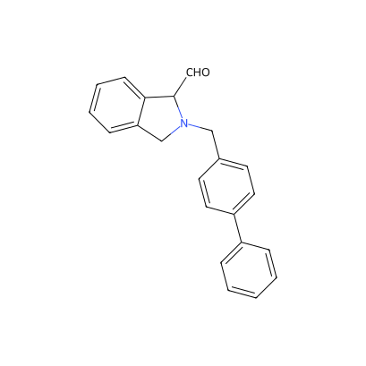 O=CC1c2ccccc2CN1Cc1ccc(-c2ccccc2)cc1